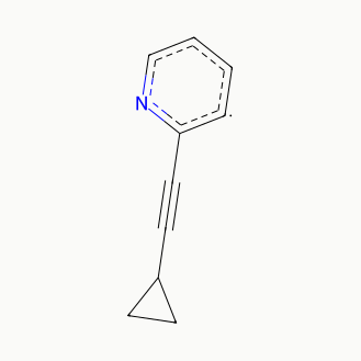 C(#CC1CC1)c1[c]cccn1